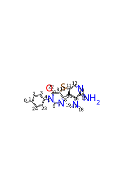 Cc1ccc(-n2cnc3c(sc4cnc(N)c(N(C)C)c43)c2=O)cc1